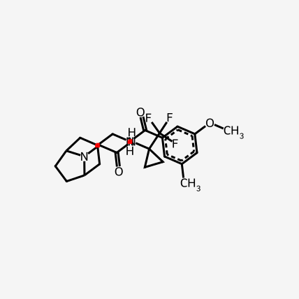 COc1cc(C)cc(C(=O)NCC2CC3CCC(C2)N3CC(=O)NC2(C(F)(F)F)CC2)c1